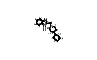 c1ccc(C2CCN(Cc3nc4ccccc4[nH]3)CC2)cc1